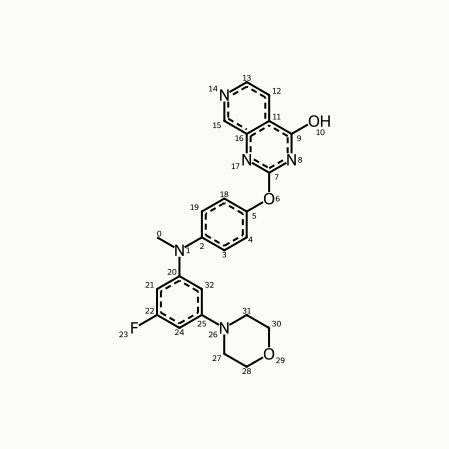 CN(c1ccc(Oc2nc(O)c3ccncc3n2)cc1)c1cc(F)cc(N2CCOCC2)c1